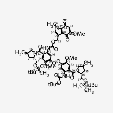 C=C1C[C@@H](CO[Si](C)(C)C(C)(C)C)N(C(=O)c2cc(OC)c(OOc3cc(NC(=O)OC(C)(C)C)c(C(=O)N4CC(=C)C[C@H]4CO[Si](C)(C)C(C)(C)C)cc3OC)cc2NC(=O)OCc2cn(C)c3c2C(=O)C(OC)=CC3=O)C1